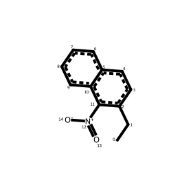 CCc1ccc2ccccc2c1[N+](=O)[O-]